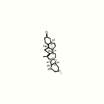 CC1=C2C[C@H]3[C@@H](CC[C@@H]4CC(=O)CC[C@@]43C)[C@@H]2CC[C@@]2(C1)O[C@@H]1C[C@H](C)CN[C@H]1[C@H]2C